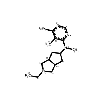 CNc1ncnc(N(C)C2CC3CN(CC(F)(F)F)CC3C2)c1C